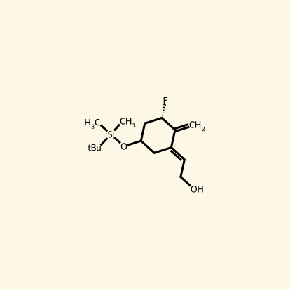 C=C1C(=CCO)CC(O[Si](C)(C)C(C)(C)C)C[C@@H]1F